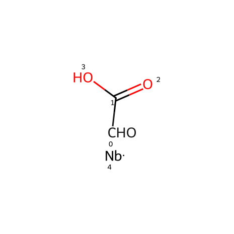 O=CC(=O)O.[Nb]